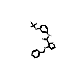 O=C(Nc1cccc(OC(F)(F)F)c1)c1sccc1SCc1ccncc1